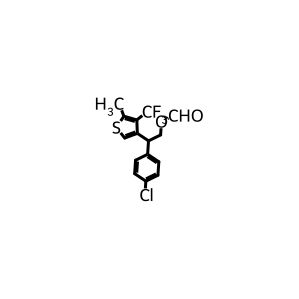 Cc1scc(C(COC=O)c2ccc(Cl)cc2)c1C(F)(F)F